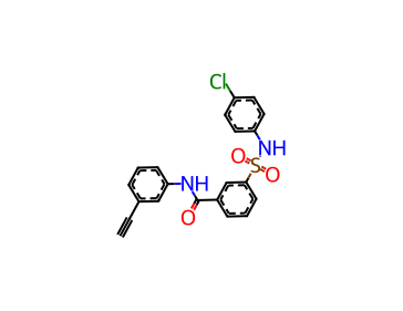 C#Cc1cccc(NC(=O)c2cccc(S(=O)(=O)Nc3ccc(Cl)cc3)c2)c1